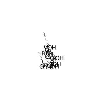 CCCCCCCCC(=O)O.CCCCCCCCC(=O)O.CCCCCCCCC(=O)O.Cc1cn([C@H]2C[C@H](O)[C@@H](COP(=O)(O)O)O2)c(=O)[nH]c1=O